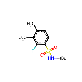 Cc1ccc(S(=O)(=O)NC(C)(C)C)c(F)c1C(=O)O